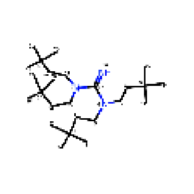 CC(C)(C)CCN(CCC(C)(C)C)C(=N)N(CCC(C)(C)C)CCC(C)(C)C